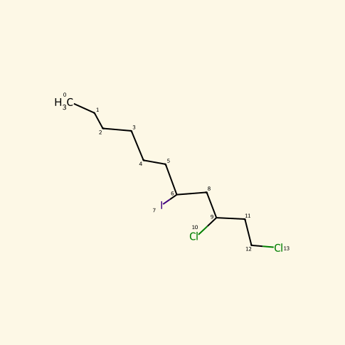 CCCCCCC(I)CC(Cl)CCCl